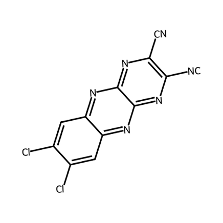 [C-]#[N+]c1nc2nc3cc(Cl)c(Cl)cc3nc2nc1C#N